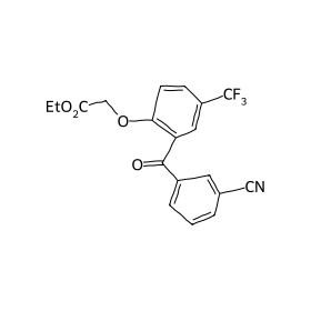 CCOC(=O)COc1ccc(C(F)(F)F)cc1C(=O)c1cccc(C#N)c1